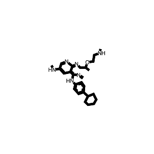 C=N/C(Nc1ccc(C2CCCCC2)cc1)=C1/C=C(NC)C=N/C1=N/CC(C)OCCNC